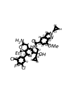 CCOc1c(CC(N)=O)cc([C@@](O)(CNC(=O)c2cc(OC)c3nn(C4CC4)cc3c2)C2CC2)nc1-c1cc(Cl)c(F)c(Cl)c1